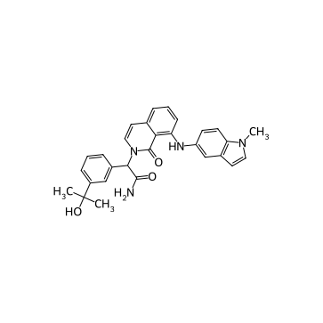 Cn1ccc2cc(Nc3cccc4ccn(C(C(N)=O)c5cccc(C(C)(C)O)c5)c(=O)c34)ccc21